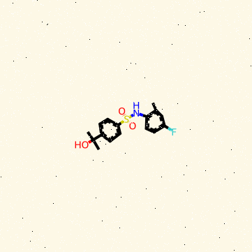 Cc1cc(F)ccc1NS(=O)(=O)c1ccc(C(C)(C)O)cc1